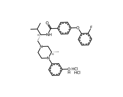 CC(C)[C@@H](CN1CCN(c2cccc(O)c2)[C@@H](C)C1)NC(=O)c1ccc(Oc2ccccc2F)cc1.Cl.Cl